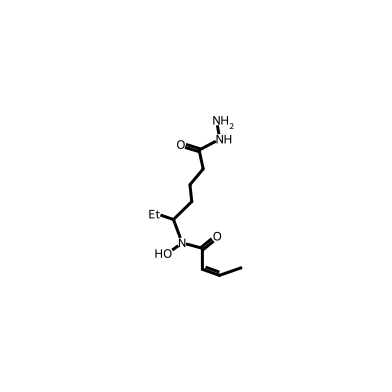 C/C=C\C(=O)N(O)C(CC)CCCC(=O)NN